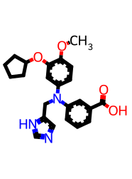 COc1ccc(N(Cc2cnc[nH]2)c2cccc(C(=O)O)c2)cc1OC1CCCC1